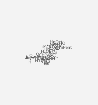 CCCCCCCC[C@@H](C(=O)N[C@@H](CC(C)C)C(=O)NC(C)(C)C(=O)N[C@@H](CC(C)C)C(=O)N[C@@H](CC(C)C)C(=O)NC(C)(C)C(=O)NC(C)(C)C(=O)NCCC(=O)NC1CC1)N(C=O)[C@@H]1CCCN1C(=O)CCCCC